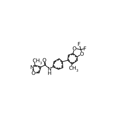 Cc1cc2c(cc1-c1ccc(NC(=O)c3conc3C)cc1)OC(F)(F)O2